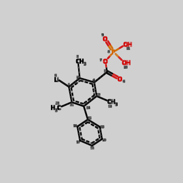 [Li][c]1c(C)c(C(=O)OP(=O)(O)O)c(C)c(-c2ccccc2)c1C